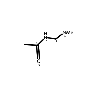 CNCNC(C)=O